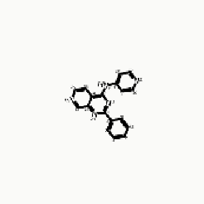 c1ccc(-c2nc(Nc3ccncc3)c3ccncc3n2)cc1